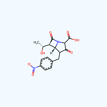 C[C@@H](O)[C@H]1C(=O)N2C(C(=O)O)C(=O)C(Cc3ccc([N+](=O)[O-])cc3)[C@H]12